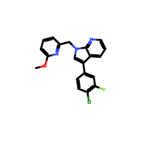 COc1cccc(Cn2cc(-c3ccc(Cl)c(F)c3)c3cccnc32)n1